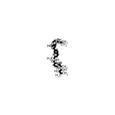 CC(C)[C@H](O)C(O)N[C@@H](C)C(=O)N1CCC[C@@H](C(=O)N[C@H](C)c2ccc3ccc(/C=C/C4(C(=O)O)CN(C(=O)OC(C)(C)C)CCO4)cc3n2)N1